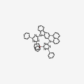 c1ccc(-c2nc(-c3ccccc3)nc(N3c4cc5c(cc4-c4cccc6cccc3c46)c3ccccc3n5-c3nc(-c4ccccc4)nc(-c4ccccc4)n3)n2)cc1